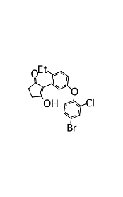 CCc1ccc(Oc2ccc(Br)cc2Cl)cc1C1=C(O)CCC1=O